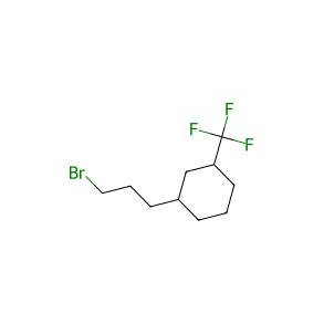 FC(F)(F)C1CCCC(CCCBr)C1